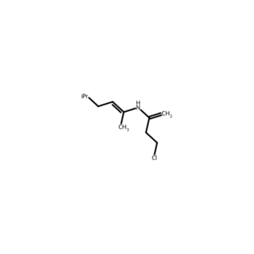 C=C(CCCl)N/C(C)=C/CC(C)C